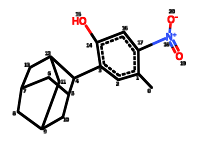 Cc1cc(C2C3CC4CC(C3)CC2C4)c(O)cc1[N+](=O)[O-]